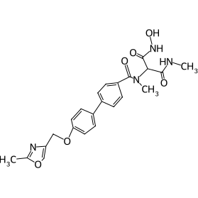 CNC(=O)C(C(=O)NO)N(C)C(=O)c1ccc(-c2ccc(OCc3coc(C)n3)cc2)cc1